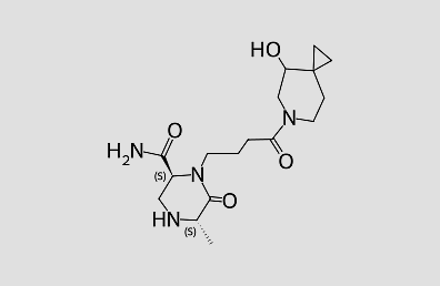 C[C@@H]1NC[C@@H](C(N)=O)N(CCCC(=O)N2CCC3(CC3)C(O)C2)C1=O